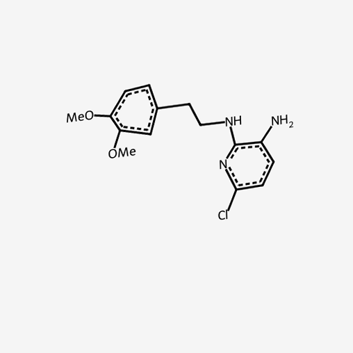 COc1ccc(CCNc2nc(Cl)ccc2N)cc1OC